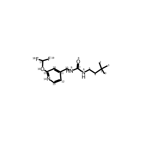 CC(C)(C)CCNC(=O)NCc1ccnc(OC(F)F)c1